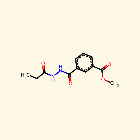 CCC(=O)NNC(=O)c1cccc(C(=O)OC)c1